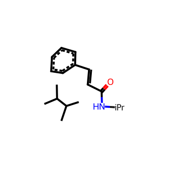 CC(C)C(C)C.CC(C)NC(=O)C=Cc1ccccc1